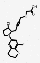 O=C(O)COCC#CCC1C(Cl)CCN1c1cc(F)c2c(c1)CCCS2